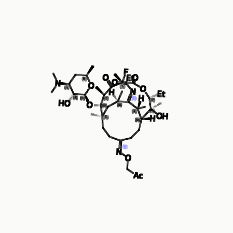 CCC(=O)/N=C1\[C@H](C)C[C@@]2(C)CC/C(=N/OCC(C)=O)CC[C@H]([C@H]1C)[C@](C)(O)[C@@H](CC)OC(=O)[C@@](C)(F)C(=O)[C@H](C)[C@H]2O[C@@H]1O[C@H](C)C[C@H](N(C)C)[C@H]1O